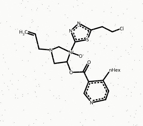 C=CCN1CC(OC(=O)c2cnccc2CCCCCC)[N+]([O-])(c2nnc(CCCl)s2)C1